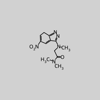 CN(C)C(=O)CN(C)C1=NN=C2CC=C([N+](=O)[O-])C=C21